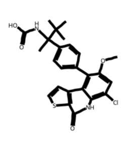 COc1cc(Cl)c2[nH]c(=O)c3sccc3c2c1-c1ccc(C(C)(NC(=O)O)C(C)(C)C)cc1